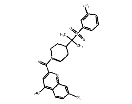 CC(C)(C1CCN(C(=O)c2cc(O)c3ccc(C(F)(F)F)cc3n2)CC1)S(=O)(=O)c1cccc(C(F)(F)F)c1